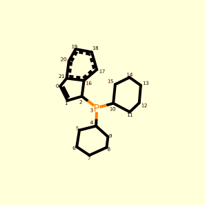 C1=CC(P(C2CCCCC2)C2CCCCC2)c2ccccc21